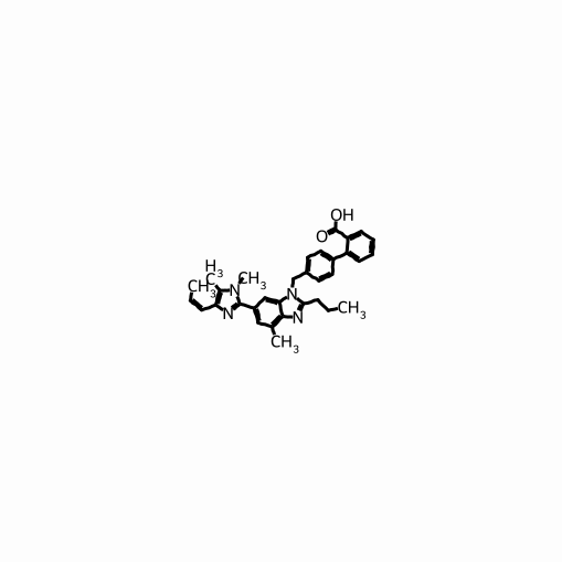 C/C=C\c1nc(-c2cc(C)c3nc(CCC)n(Cc4ccc(-c5ccccc5C(=O)O)cc4)c3c2)n(C)c1C